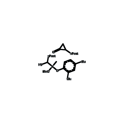 CCCCCC(S)[Si](C)(OC)Oc1ccc(C(C)(C)C)cc1C(C)(C)C.CCCCCC1CC1=O